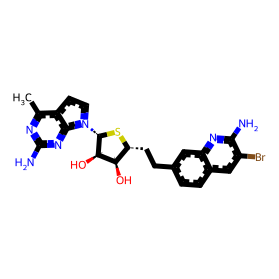 Cc1nc(N)nc2c1ccn2[C@@H]1S[C@H](CCc2ccc3cc(Br)c(N)nc3c2)[C@@H](O)[C@H]1O